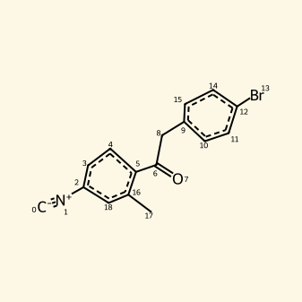 [C-]#[N+]c1ccc(C(=O)Cc2ccc(Br)cc2)c(C)c1